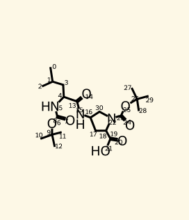 CC(C)CC(NC(=O)OC(C)(C)C)C(=O)NC1CC(C(=O)O)N(C(=O)OC(C)(C)C)C1